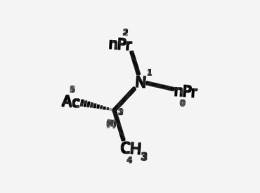 CCCN(CCC)[C@H](C)C(C)=O